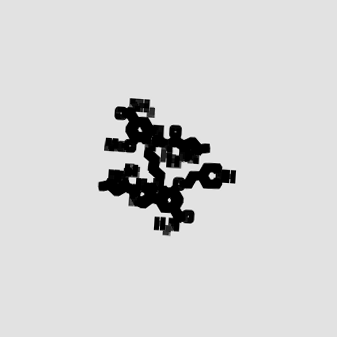 CCn1nc(C)cc1C(=O)Nc1nc2cc(C(N)=O)cc(OC)c2n1C/C=C/Cn1c2nc(-c3cc(C)nn3CC)ncc2c2cc(C(N)=O)cc(OCCC3CCNCC3)c21